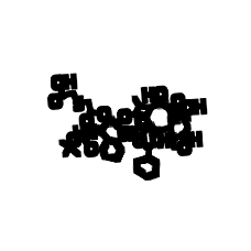 CC1C(OC(=O)[C@H](OC(=O)CSCC(=O)O)[C@@H](NC(=O)OC(C)(C)C)c2ccccc2)=C[C@@]2(O)[C@@H](OC(=O)c3ccccc3)C3[C@@H]4CO[C@@H]4C[C@H](O)[C@@]3(C)C(=O)[C@H](O)C1C2(C)C